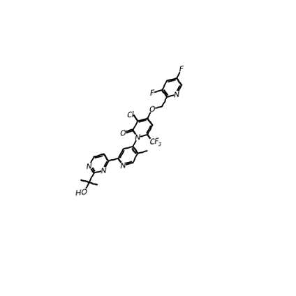 Cc1cnc(-c2ccnc(C(C)(C)O)n2)cc1-n1c(C(F)(F)F)cc(OCc2ncc(F)cc2F)c(Cl)c1=O